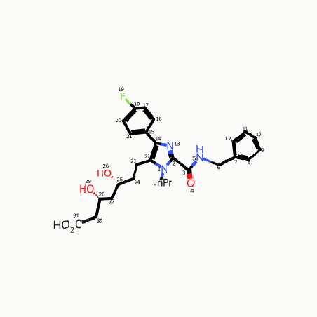 CCCn1c(C(=O)NCc2ccccc2)nc(-c2ccc(F)cc2)c1CC[C@@H](O)C[C@@H](O)CC(=O)O